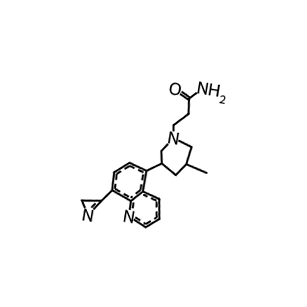 CC1CC(c2ccc(C3=NC3)c3ncccc23)CN(CCC(N)=O)C1